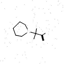 O=C([O-])C(F)(F)N1CCCCC1.[K+]